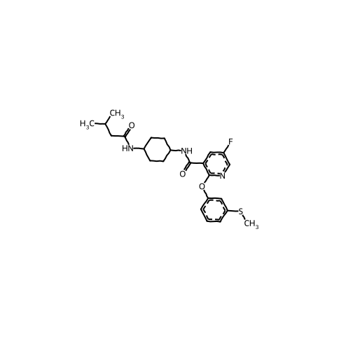 CSc1cccc(Oc2ncc(F)cc2C(=O)NC2CCC(NC(=O)CC(C)C)CC2)c1